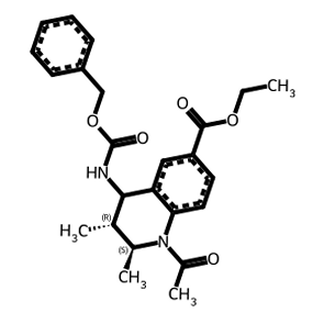 CCOC(=O)c1ccc2c(c1)C(NC(=O)OCc1ccccc1)[C@@H](C)[C@H](C)N2C(C)=O